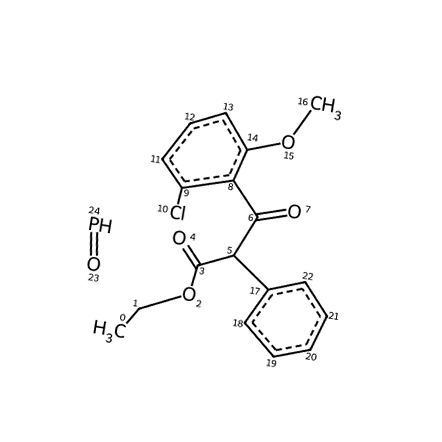 CCOC(=O)C(C(=O)c1c(Cl)cccc1OC)c1ccccc1.O=P